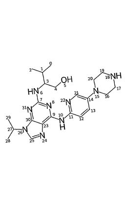 CC(C)C(CO)Nc1nc(Nc2ccc(N3CCNCC3)cn2)c2ncn(C(C)C)c2n1